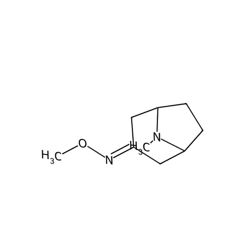 CON=C1CC2CCC(C1)N2C